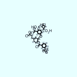 Cl.O=C(Cl)CCC1CCCCC1.O=C(Cl)c1cccc(OC(F)(F)F)c1.O=C(Cl)c1cccc(S(=O)(=O)F)c1.O=C(O)[C@@H]1CC[C@H]1C(=O)O